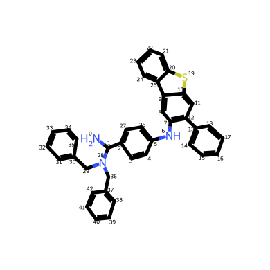 NC(c1ccc(Nc2cc3c(cc2-c2ccccc2)sc2ccccc23)cc1)N(Cc1ccccc1)Cc1ccccc1